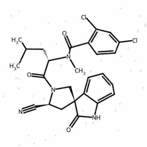 CC(C)C[C@@H](C(=O)N1C[C@]2(C[C@H]1C#N)C(=O)Nc1ccccc12)N(C)C(=O)c1ccc(Cl)cc1Cl